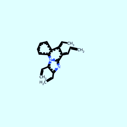 C=C/C=c1\c(=C/C)c2ccccc2n2c(C=C)c(C=C)nc12